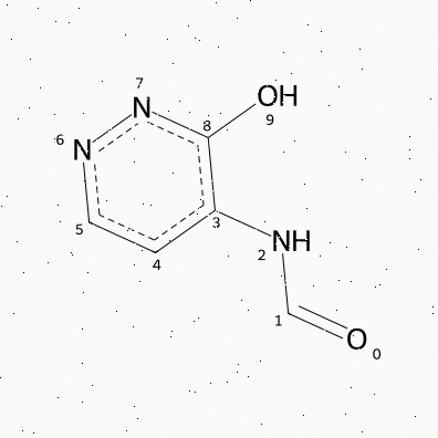 O=CNc1ccnnc1O